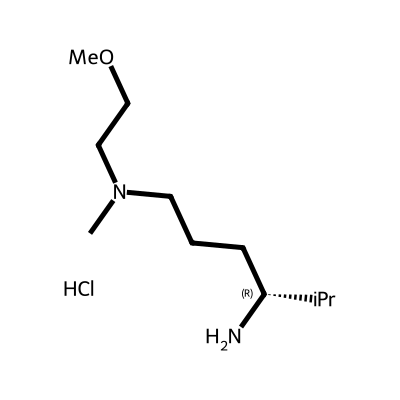 COCCN(C)CCC[C@@H](N)C(C)C.Cl